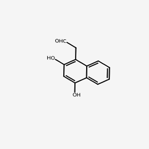 O=CCc1c(O)cc(O)c2ccccc12